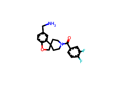 NCc1ccc2c(c1)C1(CCN(C(=O)c3ccc(F)c(F)c3)CC1)CO2